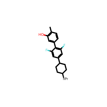 CCCC1CCC(c2cc(F)c(-c3ccc(C)c(O)c3)c(F)c2)CC1